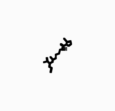 C=C/C=C(\C=C(/C)CCCCNC(=C)C1CCC=C1C)C(=C)C